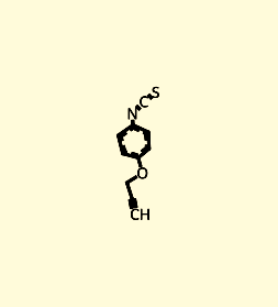 C#CCOc1ccc(N=C=S)cc1